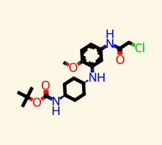 COc1ccc(NC(=O)CCl)cc1N[C@H]1CC[C@H](NC(=O)OC(C)(C)C)CC1